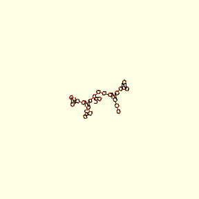 c1ccc(-c2ccc(-c3ccc(N(c4ccc(-c5ccc(-c6cccc(-c7ccc(-c8ccc(N(c9ccc(-c%10ccc%11c(c%10)c%10ccccc%10n%11-c%10ccccc%10)cc9)c9ccc(-c%10cccc%11c%10sc%10ccccc%10%11)cc9)cc8)c8sc9ccccc9c78)c6)cc5)cc4)c4ccc(-c5ccc6c(c5)c5ccccc5n6-c5ccccc5)cc4)cc3)cc2)cc1